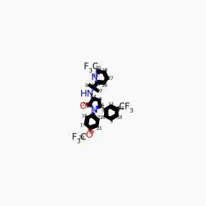 CC(C)(N[C@@H]1C[C@H](c2cccc(C(F)(F)F)c2)N(c2ccc(OC(F)(F)F)cc2)C1=O)c1cccc(C(F)(F)F)n1